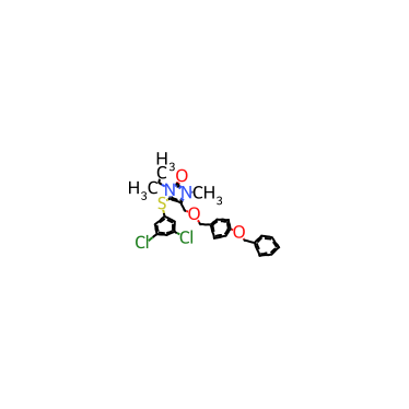 CC(C)n1c(Sc2cc(Cl)cc(Cl)c2)c(COCc2ccc(OCc3ccccc3)cc2)n(C)c1=O